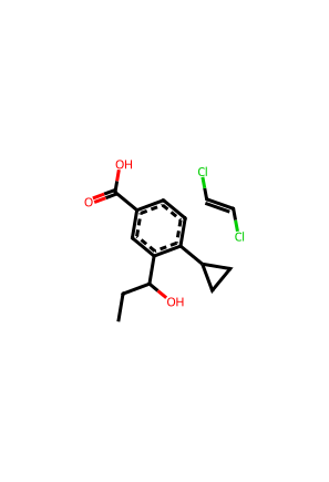 CCC(O)c1cc(C(=O)O)ccc1C1CC1.ClC=CCl